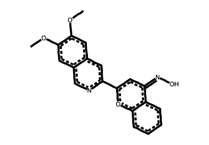 COc1cc2cnc(-c3c/c(=N/O)c4ccccc4o3)cc2cc1OC